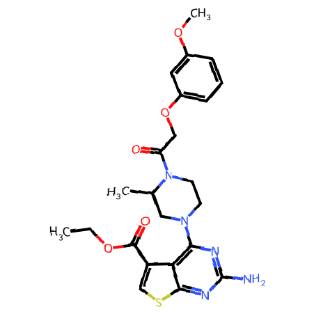 CCOC(=O)c1csc2nc(N)nc(N3CCN(C(=O)COc4cccc(OC)c4)C(C)C3)c12